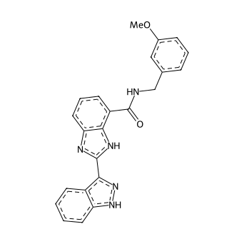 COc1cccc(CNC(=O)c2cccc3nc(-c4n[nH]c5ccccc45)[nH]c23)c1